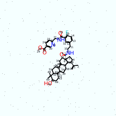 C=C(C)[C@@H]1CC[C@]2(C(=O)NCCc3ccc(F)c(C(=O)NCc4ccc(C(=O)OC)cn4)c3)CC[C@]3(C)C(CCC4[C@@]5(C)CC[C@H](O)C(C)(C)C5CC[C@]43C)C12